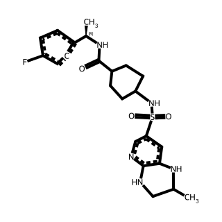 CC1CNc2ncc(S(=O)(=O)NC3CCC(C(=O)N[C@H](C)c4ccc(F)cc4)CC3)cc2N1